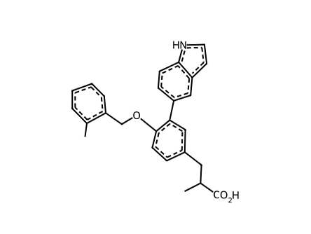 Cc1ccccc1COc1ccc(CC(C)C(=O)O)cc1-c1ccc2[nH]ccc2c1